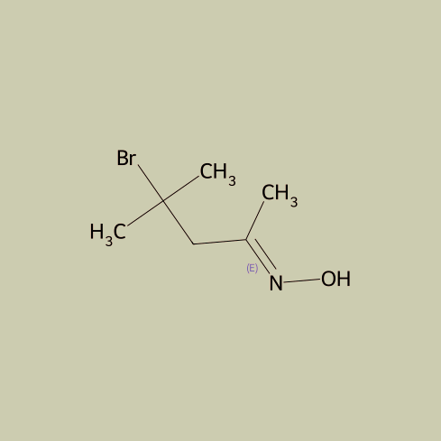 C/C(CC(C)(C)Br)=N\O